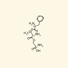 C[C@@H](OC(=O)[C@@H](N)Cc1ccccc1)[C@H](N)C(=O)OC[C@H](N)C(=O)O